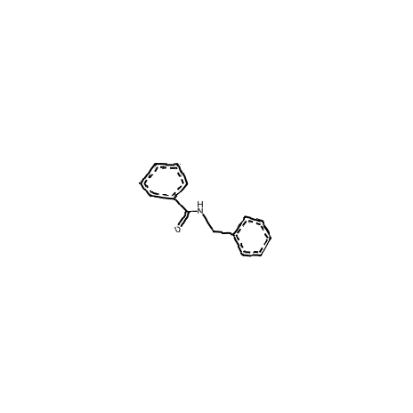 O=C(NCc1ccccc1)c1c[c]ccc1